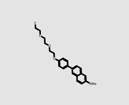 CNc1ccc2cc(-c3ccc(OCCOCCOCCF)cc3)ccc2c1